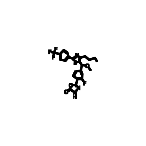 CCCCc1nc(-c2ccc(C(F)(F)F)cc2)sc1C(OC)c1ccc(-c2n[nH]c(=O)o2)c(F)c1